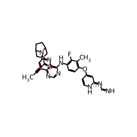 CC#CC(=O)N1CC2CCC(C1)N2c1ccc2ncnc(Nc3ccc(Oc4cc[nH]/c(=N\C=N)c4)c(C)c3F)c2n1